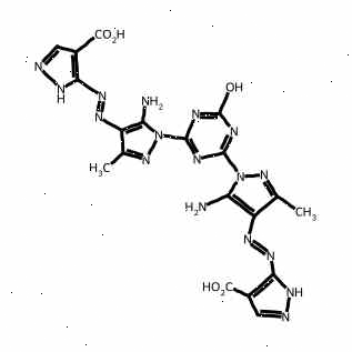 Cc1nn(-c2nc(O)nc(-n3nc(C)c(/N=N/c4[nH]ncc4C(=O)O)c3N)n2)c(N)c1/N=N/c1[nH]ncc1C(=O)O